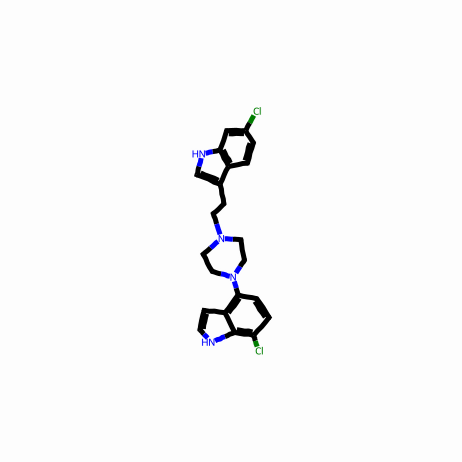 Clc1ccc2c(CCN3CCN(c4ccc(Cl)c5[nH]ccc45)CC3)c[nH]c2c1